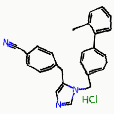 Cc1ccccc1-c1ccc(Cn2cncc2Cc2ccc(C#N)cc2)cc1.Cl